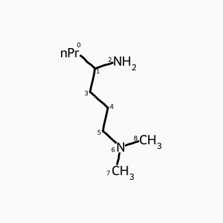 CCCC(N)CCCN(C)C